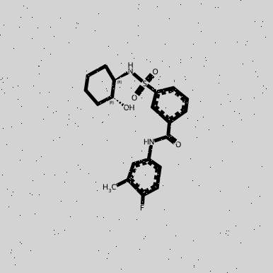 Cc1cc(NC(=O)c2cccc(S(=O)(=O)N[C@@H]3CCCC[C@H]3O)c2)ccc1F